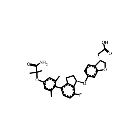 Cc1cc(OC(C)(C)C(N)=O)cc(C)c1-c1ccc(F)c2c1CC[C@H]2Oc1ccc2c(c1)OC[C@H]2CC(=O)O